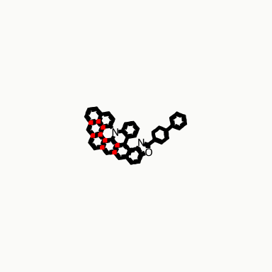 C1=C(c2ccccc2)CCC(c2nc3c(ccc4cccc(-c5ccccc5N(c5ccccc5-c5ccccc5)c5ccc6ccccc6c5-c5ccccc5)c43)o2)=C1